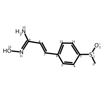 C[S+]([O-])c1ccc(/C=C/C(N)=NO)cc1